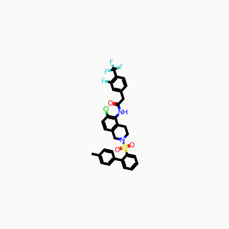 Cc1ccc(-c2ccccc2S(=O)(=O)N2CCc3c(ccc(Cl)c3NC(=O)Cc3ccc(C(F)(F)F)c(F)c3)C2)cc1